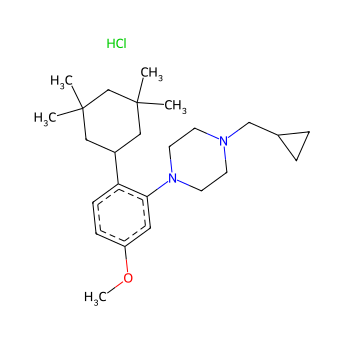 COc1ccc(C2CC(C)(C)CC(C)(C)C2)c(N2CCN(CC3CC3)CC2)c1.Cl